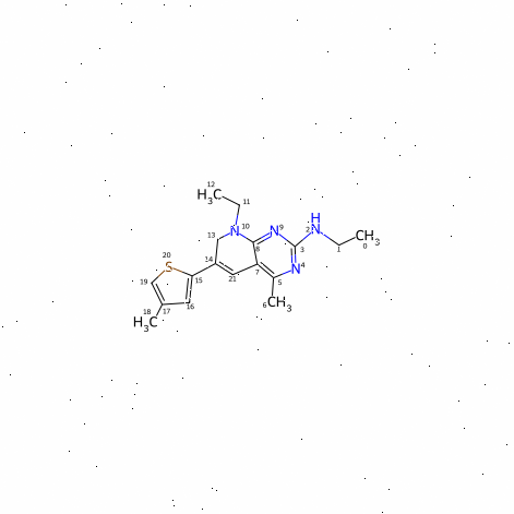 CCNc1nc(C)c2c(n1)N(CC)CC(c1cc(C)cs1)=C2